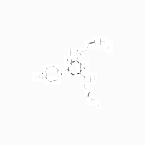 C=CCNc1cc(N2CCNCC2)nc(NCC=C)n1